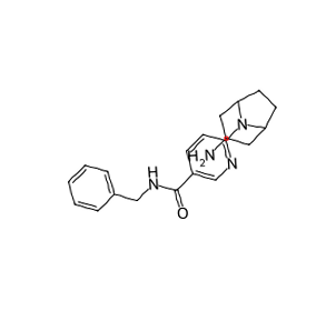 NC1CC2CCC(C1)N2c1ccc(C(=O)NCc2ccccc2)cn1